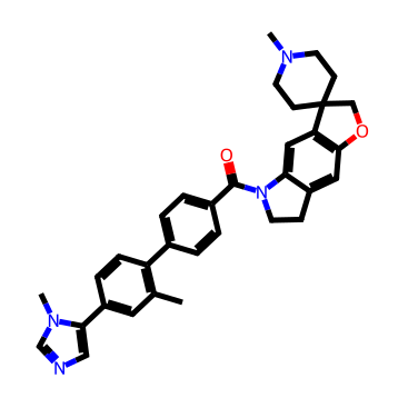 Cc1cc(-c2cncn2C)ccc1-c1ccc(C(=O)N2CCc3cc4c(cc32)C2(CCN(C)CC2)CO4)cc1